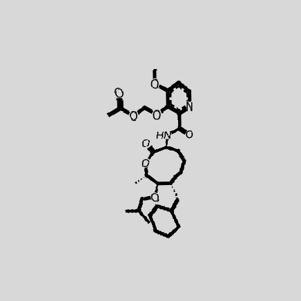 COc1ccnc(C(=O)N[C@H]2CCC[C@H](CC3CCCCC3)[C@@H](OCC(C)C)[C@H](C)OC2=O)c1OCOC(C)=O